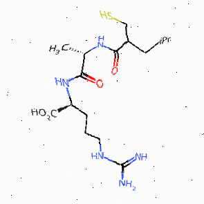 CC(C)CC(CS)C(=O)N[C@@H](C)C(=O)N[C@@H](CCCNC(=N)N)C(=O)O